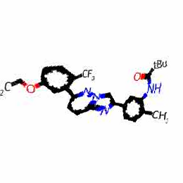 CCOC(=O)COc1ccc(C(F)(F)F)c(-c2ccc3nc(-c4ccc(C)c(NC(=O)C(C)(C)C)c4)cn3n2)c1